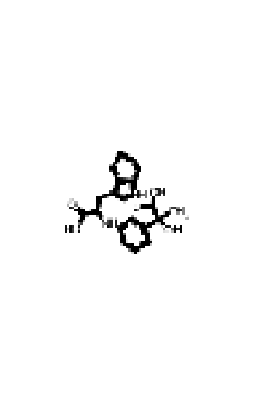 CC(O)(C(=O)O)c1ccccc1.NC(Cc1c[nH]c2ccccc12)C(=O)O